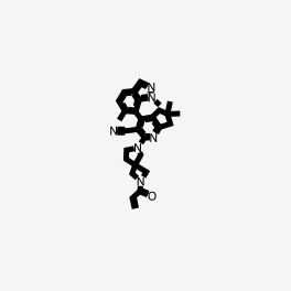 C=CC(=O)N1CC2(CCN(c3nc4c(c(-c5c(C)ccc6cnn(C)c56)c3C#N)CC(C)(C)C4)C2)C1